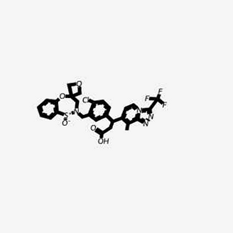 Cc1c(C(CC(=O)O)c2ccc(Cl)c(CN3CC4(COC4)Oc4ccccc4[S+]3[O-])c2)ccn2c(C(F)(F)F)nnc12